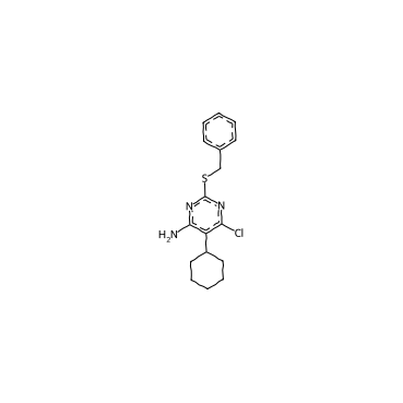 Nc1nc(SCc2ccccc2)nc(Cl)c1C1CCCCC1